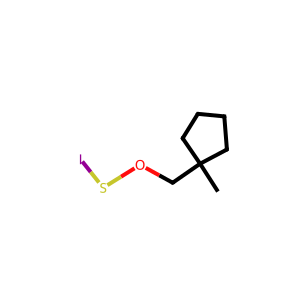 CC1(COSI)CCCC1